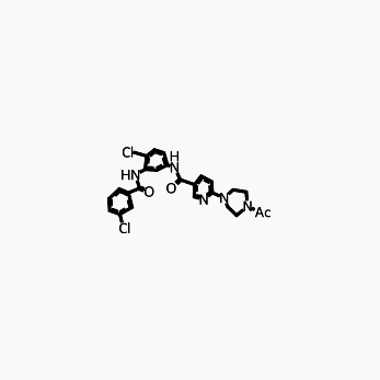 CC(=O)N1CCN(c2ccc(C(=O)Nc3ccc(Cl)c(NC(=O)c4cccc(Cl)c4)c3)cn2)CC1